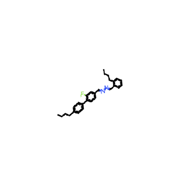 CCCCc1ccc(-c2ccc(C=NN=Cc3ccccc3CCCC)cc2F)cc1